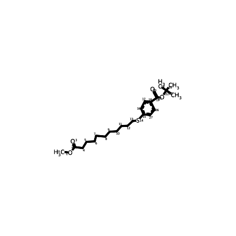 COC(=O)CCCCCCCCCCSc1ccc(C(=O)OC(C)(C)C)cc1